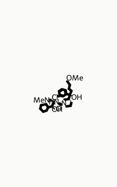 CNC[C@@H](NC(=O)N1CCC[C@@H]([C@@](O)(CCCCOC)c2cccc(Cl)c2)C1)[C@@H](O)C1CCCCC1